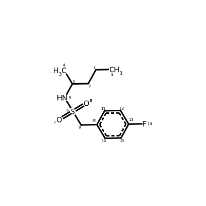 CCCC(C)NS(=O)(=O)Cc1ccc(F)cc1